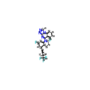 Cc1nnc2nc(N3CCCc4c(C#CC(C)(C)C(F)(F)F)cc(F)cc43)c3c(F)cccc3n12